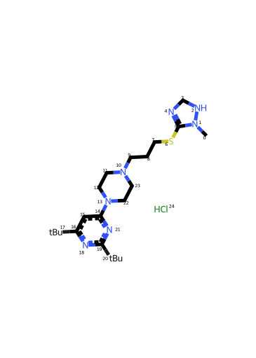 CN1NCN=C1SCCCN1CCN(c2cc(C(C)(C)C)nc(C(C)(C)C)n2)CC1.Cl